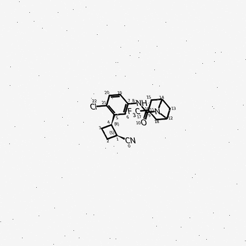 N#C[C@H]1CC[C@H]1c1cc(NC(=O)N2C3CC2CC(C(F)(F)F)C3)ccc1Cl